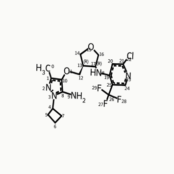 Cc1nn(C2CCC2)c(N)c1OC[C@H]1COC[C@@H]1Nc1cc(Cl)ncc1C(F)(F)F